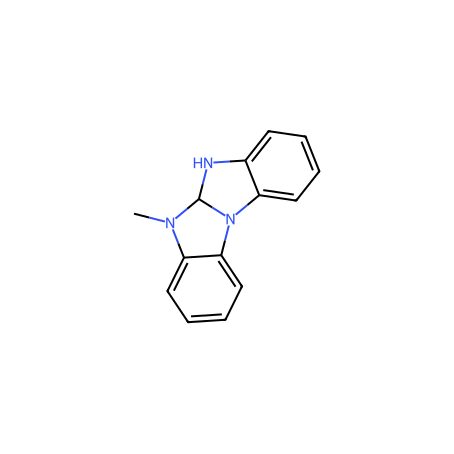 CN1c2ccccc2N2c3ccccc3NC12